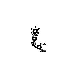 COc1cc(Cc2csc(N3CCN(S(=O)(=O)c4c(F)c(F)c(F)c(F)c4F)CC3)n2)cc(OC)c1